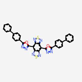 c1ccc(-c2ccc(-c3nnc(-c4c5c(c(-c6nnc(-c7ccc(-c8ccccc8)cc7)o6)c6nsnc46)N=S=N5)o3)cc2)cc1